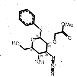 COC(=O)CO[C@@H]1[C@@H](N=[N+]=[N-])[C@@H](O)[C@@H](CO)O[C@H]1Sc1ccccc1